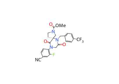 COC(=O)N1CC[C@@]2(C1)C(=O)N(c1ccc(C#N)cc1F)CC(=O)N2Cc1ccc(C(F)(F)F)cc1